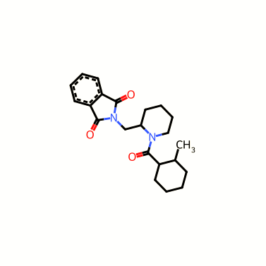 CC1CCCCC1C(=O)N1CCCCC1CN1C(=O)c2ccccc2C1=O